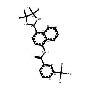 CC1(C)OB(c2ccc(NC(=O)c3cccc(C(F)(F)F)c3)c3ccccc23)OC1(C)C